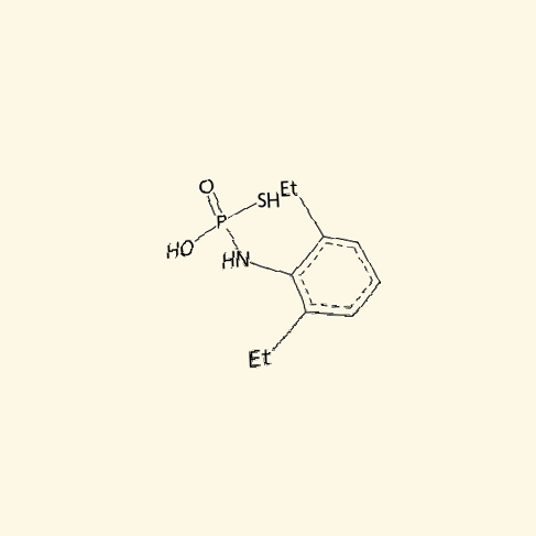 CCc1cccc(CC)c1NP(=O)(O)S